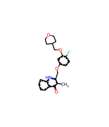 Cc1c(COc2ccc(F)c(OCC3CCOCC3)c2)[nH]c2ccccc2c1=O